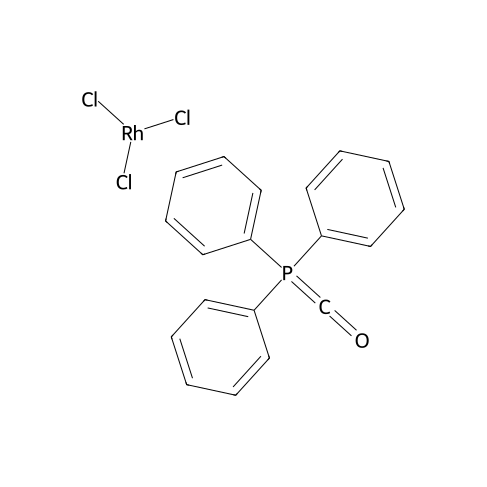 O=C=P(c1ccccc1)(c1ccccc1)c1ccccc1.[Cl][Rh]([Cl])[Cl]